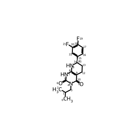 CC(C)Cn1c(=O)[nH]c2c(c1=O)CC[C@H](c1ccc(F)c(F)c1)N2